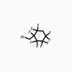 CC(C)CC1(F)C(F)(F)CC(F)(F)C(F)(F)C1(F)F